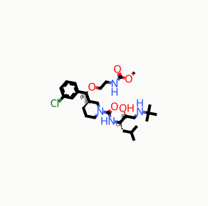 COC(=O)NCCO[C@@H](c1cccc(Cl)c1)[C@@H]1CCCN(C(=O)N[C@@H](CC(C)C)[C@H](O)CNC(C)(C)C)C1